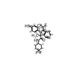 CC(C(=O)NC1CCC(F)(F)CC1)(c1cncnc1)N(C(=O)[C@H](F)Cl)c1ccc(S)cc1